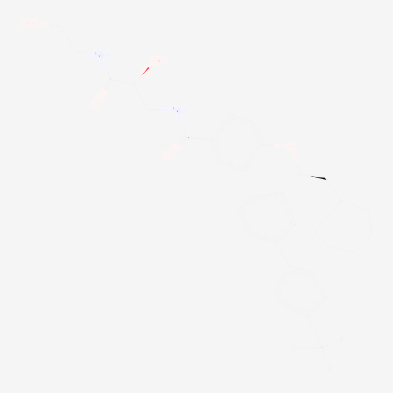 O=C(NC[C@H](O)C(=O)NCCO)c1ccc(O[C@@H](CC2CCCCC2)c2cccc(-c3ccc(C(F)(F)F)cc3)c2)cc1